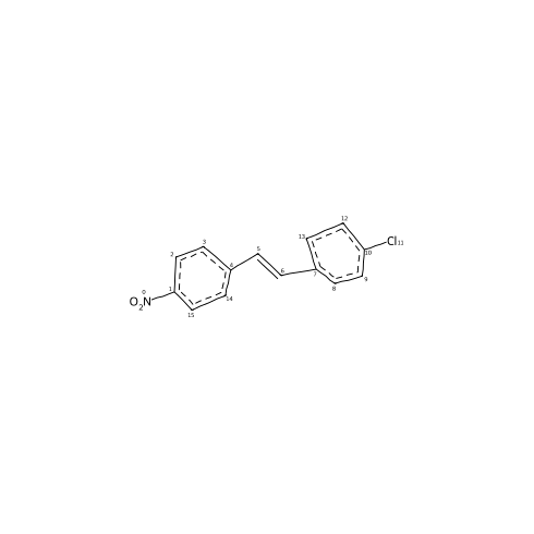 O=[N+]([O-])c1ccc(C=Cc2ccc(Cl)cc2)cc1